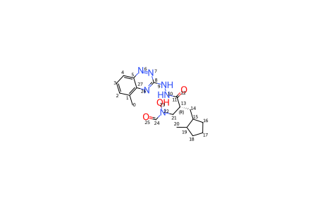 Cc1cccc2nnc(NNC(=O)[C@H](CC3CCCC3C)CN(O)C=O)nc12